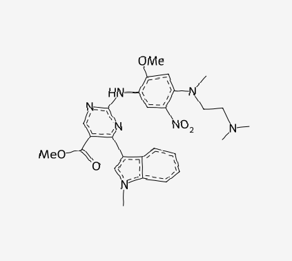 COC(=O)c1cnc(Nc2cc([N+](=O)[O-])c(N(C)CCN(C)C)cc2OC)nc1-c1cn(C)c2ccccc12